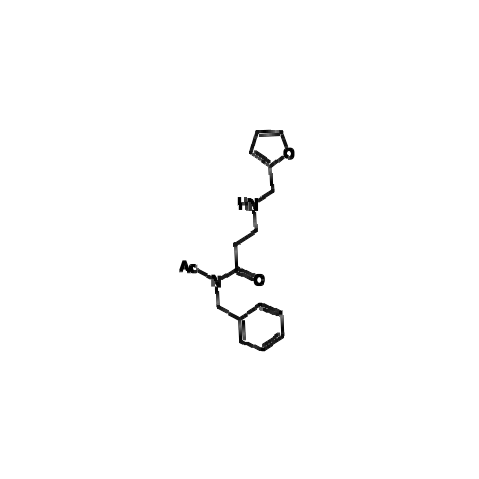 CC(=O)N(Cc1ccccc1)C(=O)CCNCc1ccco1